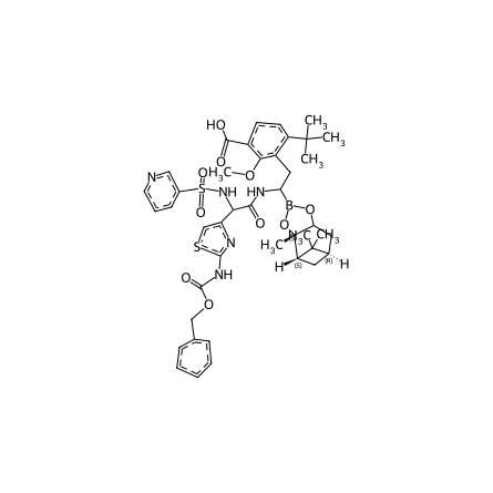 COc1c(C(=O)O)ccc(C(C)(C)C)c1CC(NC(=O)C(NS(=O)(=O)c1cccnc1)c1csc(NC(=O)OCc2ccccc2)n1)B1OC2C[C@H]3C[C@@H](C3(C)C)[C@]2(C)O1